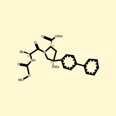 CCC(C)[C@H](NC(=O)OC(C)(C)C)C(=O)N1C[C@](OC)(c2ccc(-c3ccccc3)cc2)C[C@H]1C(=O)OC